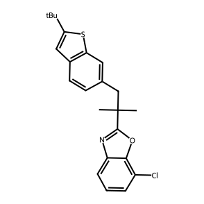 CC(C)(C)c1cc2ccc(CC(C)(C)c3nc4cccc(Cl)c4o3)cc2s1